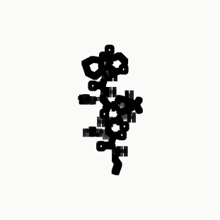 C=CCNC(=O)C(=O)[C@H](CCCC)NC(=O)[C@@H]1[C@@H]2[C@H](CN1C(=O)[C@@H](NC(=O)NC1([C@@H]3COCCS3(=O)=O)CCCCC1)C(C)(C)C)C2(C)C